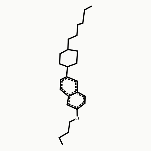 CCCCCCC1CCC(c2ccc3cc(OCCCC)ccc3c2)CC1